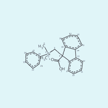 C[Si](C)(CC1(C(=O)O)c2ccccc2-c2ccccc21)c1ccccc1